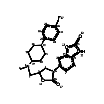 CN(CC1CN(c2ccc3[nH]c(=O)oc3c2)C(=O)O1)[C@H]1CC[C@H](c2ccc(F)cc2)CC1